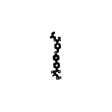 C=N/C(=N\C=C(/C)CC)N1CCC(COc2ccc(C3=CCC(C(=O)N[C@H](C)CO)CC3)cc2)CC1